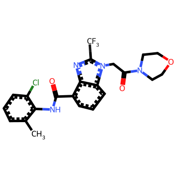 Cc1cccc(Cl)c1NC(=O)c1cccc2c1nc(C(F)(F)F)n2CC(=O)N1CCOCC1